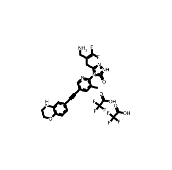 Cc1cc(C#Cc2ccc3c(c2)NCCO3)cnc1-n1c(CC(CN)=C(F)F)n[nH]c1=O.O=C(O)C(F)(F)F.O=C(O)C(F)(F)F